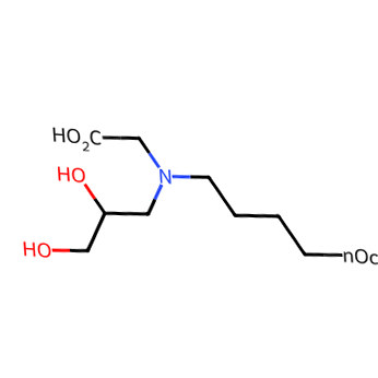 CCCCCCCCCCCCN(CC(=O)O)CC(O)CO